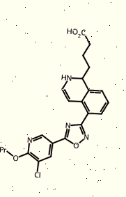 CC(C)Oc1ncc(-c2nc(-c3cccc4c3C=CNC4CCCC(=O)O)no2)cc1Cl